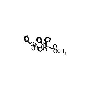 COC(=O)CCC(=O)N(c1ccccc1)[C@H]1c2ccccc2N(C(=O)OCc2ccccc2)[C@@H]2CCC[C@@H]21